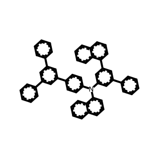 c1ccc(-c2cc(-c3ccccc3)cc(-c3ccc(N(c4cc(-c5ccccc5)cc(-c5cccc6ccccc56)c4)c4cccc5ccccc45)cc3)c2)cc1